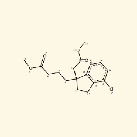 COC(=O)CCCC1(CC(=O)OC)CCc2c(Cl)cccc21